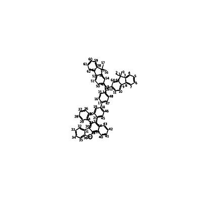 CC1(C)c2ccccc2-c2ccc(N(c3ccc(-c4ccc(-c5c(-c6ccccc6)c6c7ccccc7oc6c6ccccc56)cc4)cc3)c3ccc4c(c3)C(C)(C)c3ccccc3-4)cc21